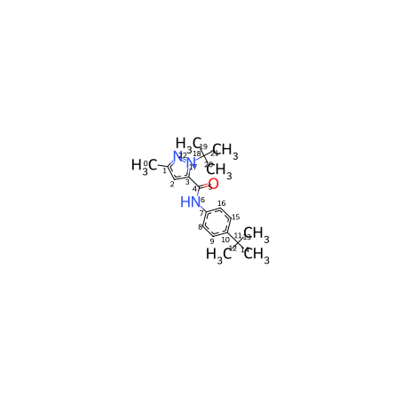 Cc1cc(C(=O)Nc2ccc(C(C)(C)C)cc2)n(C(C)(C)C)n1